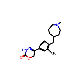 CN1CCCC(Cc2ccc(C3=NNC(=O)OC3)cc2C(F)(F)F)CC1